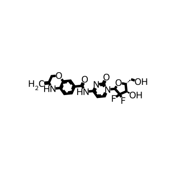 C=C1COc2cc(C(=O)Nc3ccn(C4O[C@H](CO)[C@@H](O)C4(F)F)c(=O)n3)ccc2N1